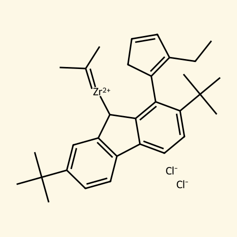 CCC1=C(c2c(C(C)(C)C)ccc3c2[CH]([Zr+2]=[C](C)C)c2cc(C(C)(C)C)ccc2-3)CC=C1.[Cl-].[Cl-]